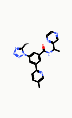 Cc1ccc(-c2cc(C(=O)NC(C)c3cnccn3)cc(-n3nnnc3C(C)C)c2)nc1